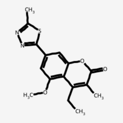 CCc1c(C)c(=O)oc2cc(-c3nnc(C)s3)cc(OC)c12